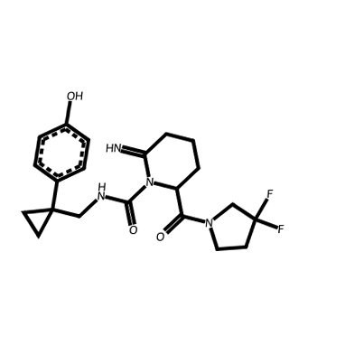 N=C1CCCC(C(=O)N2CCC(F)(F)C2)N1C(=O)NCC1(c2ccc(O)cc2)CC1